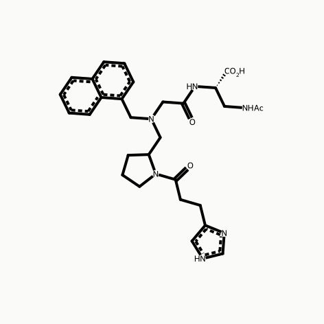 CC(=O)NC[C@H](NC(=O)CN(Cc1cccc2ccccc12)CC1CCCN1C(=O)CCc1c[nH]cn1)C(=O)O